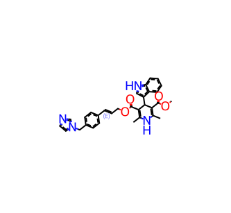 COC(=O)C1=C(C)NC(C)=C(C(=O)OC/C=C/c2ccc(Cn3ccnc3)cc2)C1c1c[nH]c2ccccc12